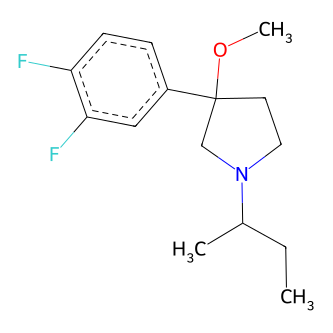 CCC(C)N1CCC(OC)(c2ccc(F)c(F)c2)C1